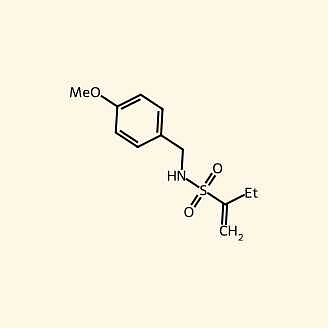 C=C(CC)S(=O)(=O)NCc1ccc(OC)cc1